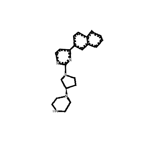 c1ccc2cc(-c3ccnc(N4CC[C@@H](N5CCNCC5)C4)n3)ccc2c1